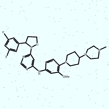 COc1cc(Nc2cc(N3OCCC3c3cc(F)cc(F)c3)ncn2)ccc1N1CCC(N2CCN(C)CC2)CC1